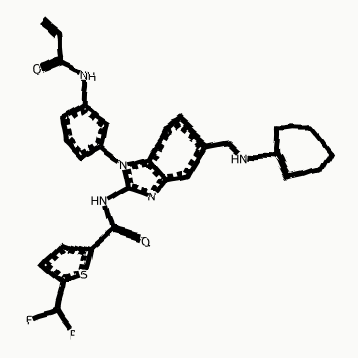 C=CC(=O)Nc1cccc(-n2c(NC(=O)c3ccc(C(F)F)s3)nc3cc(CNC4CCCCC4)ccc32)c1